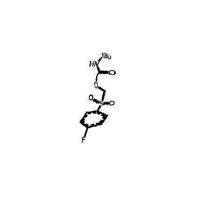 CC(C)(C)NC(=O)OCS(=O)(=O)c1ccc(F)cc1